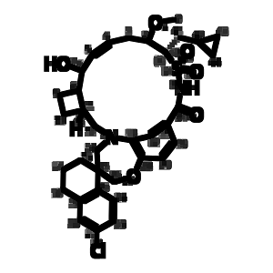 COC1CC=CC(O)C2CC[C@H]2CN2CC3(CCCc4cc(Cl)ccc43)COc3ccc(cc32)C(=O)NS(=O)(=O)[C@H]1CC1CC1